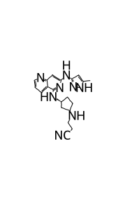 Cc1cc(Nc2cc3ncccc3c(N[C@H]3CC[C@H](NCCC#N)C3)n2)n[nH]1